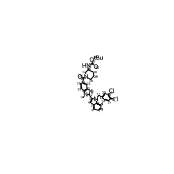 Cn1c(-c2cc3ccccc3n2Cc2ccc(Cl)c(Cl)c2)nc2cc(C(=O)N3CCC[C@@H](NC(=O)OC(C)(C)C)C3)ccc21